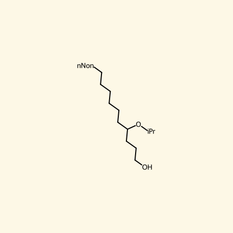 CCCCCCCCCCCCCCCC(CCCO)OC(C)C